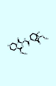 CCCCON1C(=O)N2C[C@@H]1CC[C@H]2C(=O)NNC(=O)[C@H]1CNCCN1C(=O)OC(C)(C)C